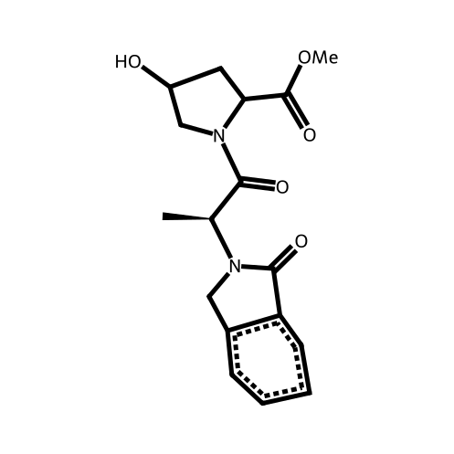 COC(=O)C1CC(O)CN1C(=O)[C@H](C)N1Cc2ccccc2C1=O